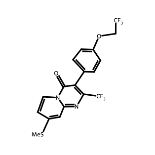 CSc1ccn2c(=O)c(-c3ccc(OCC(F)(F)F)cc3)c(C(F)(F)F)nc2c1